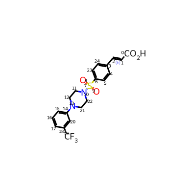 O=C(O)/C=C/c1ccc(S(=O)(=O)N2CCN(c3cccc(C(F)(F)F)c3)CC2)cc1